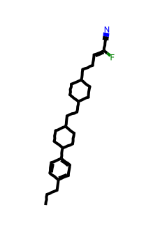 CCCc1ccc(C2CCC(CCC3CCC(CCC=C(F)C#N)CC3)CC2)cc1